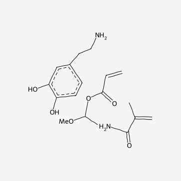 C=C(C)C(N)=O.C=CC(=O)OC(C)OC.NCCc1ccc(O)c(O)c1